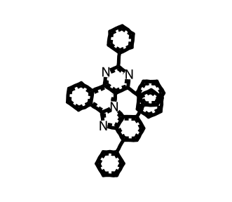 c1ccc(-c2nc(-c3ccccc3)c3c(n2)c2ccccc2c2nc4c(-c5ccccc5)ccc(-c5ccccc5)c4n23)cc1